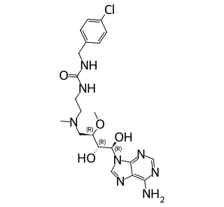 CO[C@H](CN(C)CCNC(=O)NCc1ccc(Cl)cc1)[C@@H](O)[C@@H](O)n1cnc2c(N)ncnc21